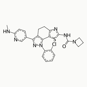 CNc1ccc(-c2nn(-c3ccccc3Cl)c3c2CCc2nc(NC(=O)N4CCC4)sc2-3)cn1